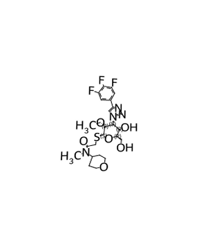 CO[C@@H]1[C@@H](n2cc(-c3cc(F)c(F)c(F)c3)nn2)[C@@H](O)[C@@H](CO)O[C@H]1SCC(=O)N(C)C1CCOCC1